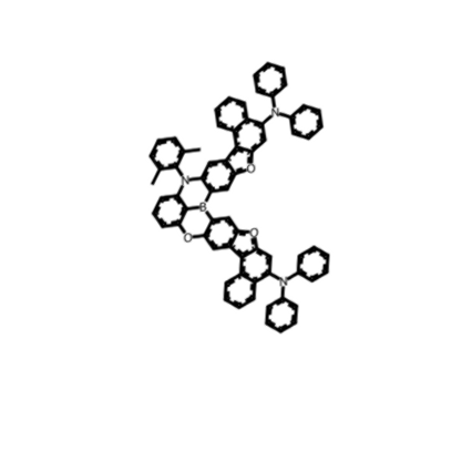 Cc1cccc(C)c1N1c2cc3c(cc2B2c4cc5oc6cc(N(c7ccccc7)c7ccccc7)c7ccccc7c6c5cc4Oc4cccc1c42)oc1cc(N(c2ccccc2)c2ccccc2)c2ccccc2c13